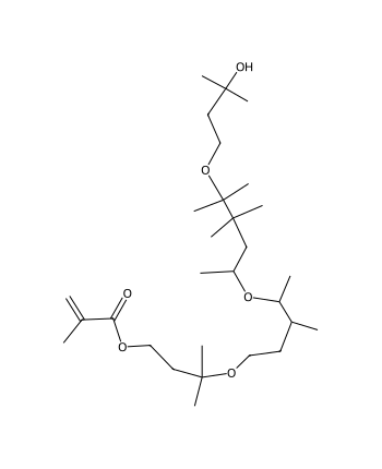 C=C(C)C(=O)OCCC(C)(C)OCCC(C)C(C)OC(C)CC(C)(C)C(C)(C)OCCC(C)(C)O